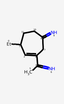 CCC1C=C(C(C)=N)CC(=N)CC1